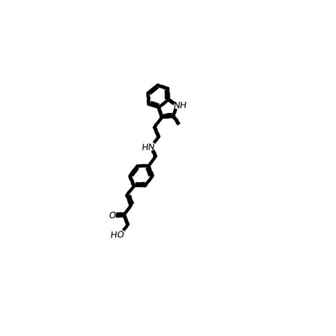 Cc1[nH]c2ccccc2c1CCNCc1ccc(/C=C/C(=O)CO)cc1